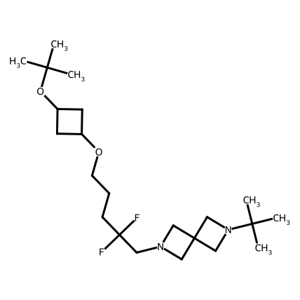 CC(C)(C)OC1CC(OCCCC(F)(F)CN2CC3(C2)CN(C(C)(C)C)C3)C1